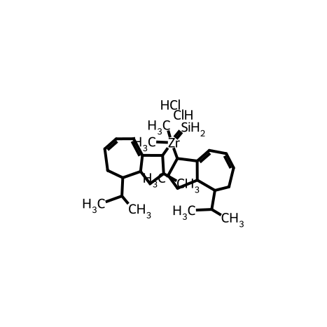 CC(C)C1CC=CC=C2C1CC(C)[CH]2[Zr]([CH3])([CH3])(=[SiH2])[CH]1C2=CC=CCC(C(C)C)C2CC1C.Cl.Cl